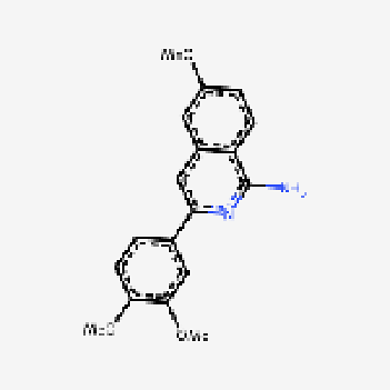 COc1ccc2c(N)nc(-c3ccc(OC)c(OC)c3)cc2c1